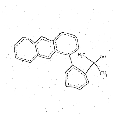 CC(C)(O)c1ccccc1-c1cccc2cc3ccccc3cc12